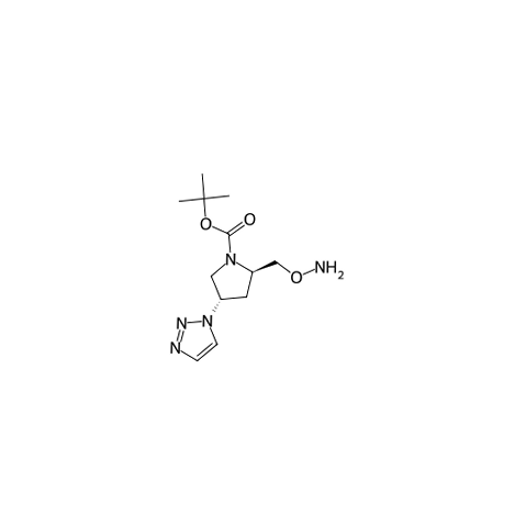 CC(C)(C)OC(=O)N1C[C@@H](n2ccnn2)C[C@@H]1CON